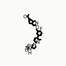 CC(=O)C1C2Cc3cc(OCc4cc(-c5ccc(N6CCC(NS(C)(=O)=O)C6)nc5C)ccc4F)ncc3C21